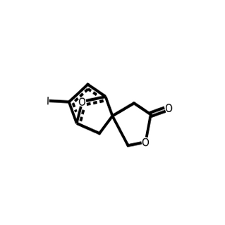 O=C1CC2(CO1)Cc1oc2cc1I